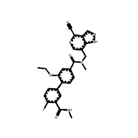 CCOc1cc(C(=O)N(C)Cc2cnc(C#N)c3cn[nH]c23)ccc1-c1ccc(F)c(C(=O)NC)c1